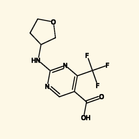 O=C(O)c1cnc(NC2CCOC2)nc1C(F)(F)F